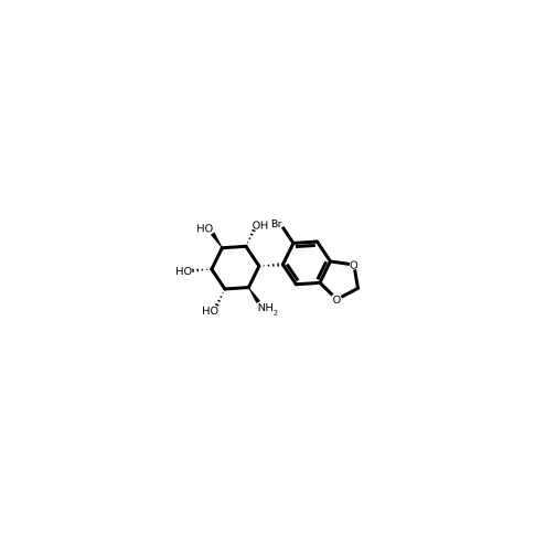 N[C@H]1[C@H](O)[C@H](O)[C@@H](O)[C@H](O)[C@@H]1c1cc2c(cc1Br)OCO2